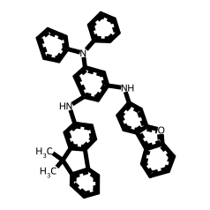 CC1(C)c2ccccc2-c2ccc(Nc3cc(Nc4ccc5c(c4)oc4ccccc45)cc(N(c4ccccc4)c4ccccc4)c3)cc21